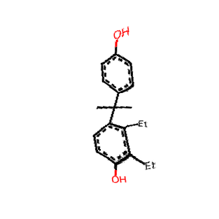 CCc1c(O)ccc(C(C)(C)c2ccc(O)cc2)c1CC